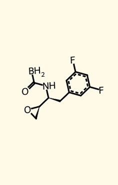 BC(=O)N[C@@H](Cc1cc(F)cc(F)c1)[C@H]1CO1